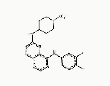 O=C(O)C1CCC(Nc2ccc3ncnc(Nc4ccc(F)c(Cl)c4)c3n2)CC1